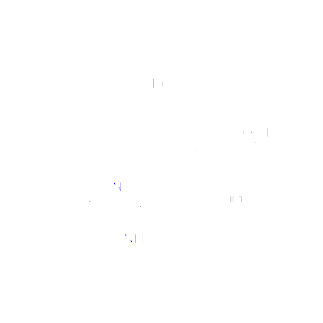 CCOP(=O)(C[C@@H](CC(C)C)C(=O)O)CN1C(=O)CNC1=O